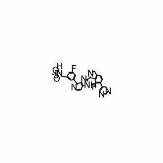 CS(=O)(=O)NCc1cc(F)cc(-c2nccc3[nH]c(C4=NCc5ccc(-c6cncnc6)c(F)c54)nc23)c1